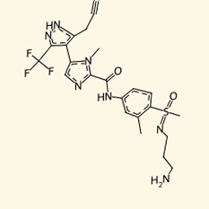 Cc1cc(NC(=O)c2ncc(-c3c(C(F)(F)F)n[nH]c3CC#N)n2C)ccc1S(C)(=O)=NCCCN